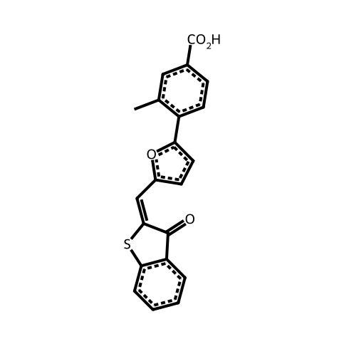 Cc1cc(C(=O)O)ccc1-c1ccc(/C=C2/Sc3ccccc3C2=O)o1